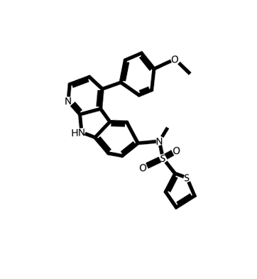 COc1ccc(-c2ccnc3[nH]c4ccc(N(C)S(=O)(=O)c5cccs5)cc4c23)cc1